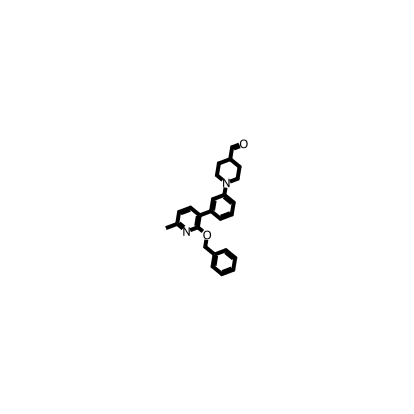 Cc1ccc(-c2cccc(N3CCC(C=O)CC3)c2)c(OCc2ccccc2)n1